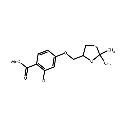 COC(=O)c1ccc(OCC2COC(C)(C)O2)cc1Cl